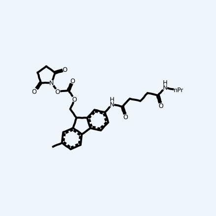 CCCNC(=O)CCCC(=O)Nc1ccc2c(c1)C(COC(=O)ON1C(=O)CCC1=O)c1cc(C)ccc1-2